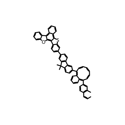 C/C=C\c1ccc(-c2ccccccc(-c3ccc4c(c3)-c3ccc(-c5ccc6c(c5)sc5c7ccccc7c7c8ccccc8oc7c65)cc3C4(C)C)c3ccccc23)cc1C